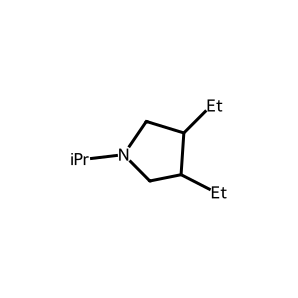 CCC1CN(C(C)C)CC1CC